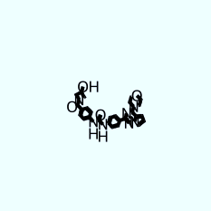 O=C(Nc1ccc(C(=O)N2CC(O)C2)cc1)Nc1ccc(-c2nc(N3CCOCC3)c3cccn3n2)cc1